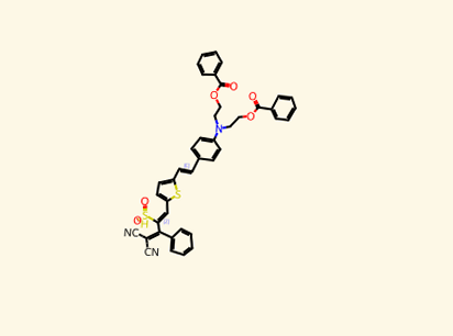 N#CC(C#N)=C(/C(=C/c1ccc(/C=C/c2ccc(N(CCOC(=O)c3ccccc3)CCOC(=O)c3ccccc3)cc2)s1)[SH](=O)=O)c1ccccc1